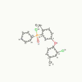 O=[N+]([O-])c1ccc(Oc2ccc(C(F)(F)F)cc2Cl)cc1P(=O)(Cl)c1ccccc1